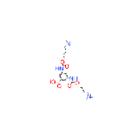 CN(C)CCCCOC(=O)Nc1cc(NC(=O)OCCCCN(C)C)cc(C(=O)O)c1